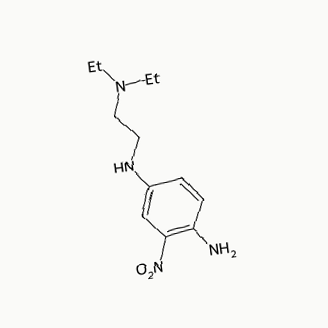 CCN(CC)CCNc1ccc(N)c([N+](=O)[O-])c1